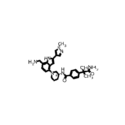 Cn1cc(-c2cc3c(N4CCC[C@@H](NC(=O)c5ccc(C(C)(C)C(N)=O)cc5)C4)ccc(CN)c3[nH]2)cn1